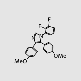 COc1ccc(-c2ncn(-c3cccc(F)c3F)c2-c2ccc(OC)cc2)cc1